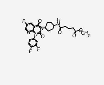 COC(=O)CCCC(=O)NC1CCC(n2c(=O)c3cc(F)cnc3n(-c3ccc(F)c(F)c3)c2=O)CC1